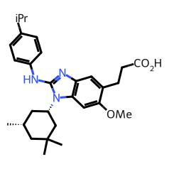 COc1cc2c(cc1CCC(=O)O)nc(Nc1ccc(C(C)C)cc1)n2[C@H]1C[C@@H](C)CC(C)(C)C1